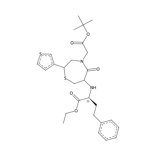 CCOC(=O)[C@H](CCc1ccccc1)NC1CSC(c2ccsc2)CN(CC(=O)OC(C)(C)C)C1=O